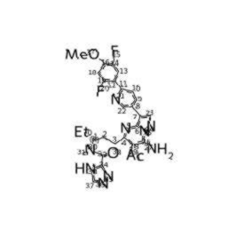 CC[C@H](CCc1nc2c(-c3ccc(-c4cc(F)c(OC)cc4F)nc3)cnn2c(N)c1C(C)=O)N(C)C(=O)c1nnc[nH]1